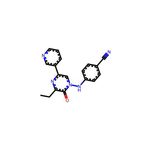 CCc1nc(-c2cccnc2)cn(Nc2ccc(C#N)cc2)c1=O